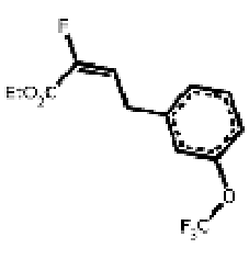 CCOC(=O)/C(F)=C\Cc1cccc(OC(F)(F)F)c1